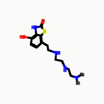 CCN(CC)CCNCCNCCc1ccc(O)c2[nH]c(=O)sc12